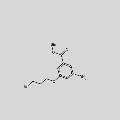 CC(C)(C)OC(=O)c1cc(N)cc(OCCCBr)c1